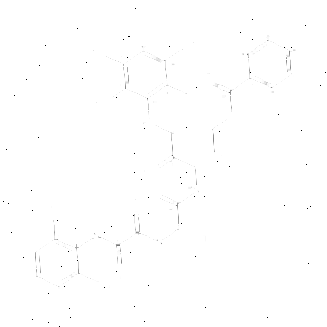 C[C@H](NC(=O)C(=O)Nc1c(F)cccc1F)C(=O)N[C@@H](CCOC(=O)c1ccccc1)C(=O)COc1c(F)c(F)cc(F)c1F